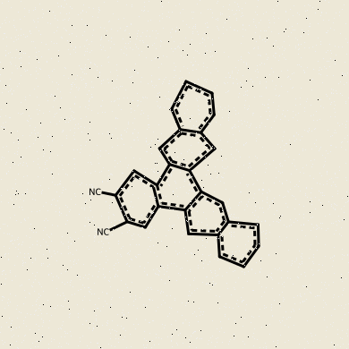 N#Cc1cc2c(cc1C#N)c1cc3ccccc3cc1c1cc3ccccc3cc21